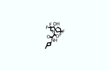 CC12CC(NC(=O)C(=O)N3CC(F)(F)[C@H](O)[C@@]34CCC(F)(F)C4)(C1)C2